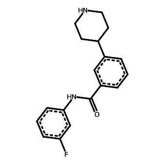 O=C(Nc1cccc(F)c1)c1cccc(C2CCNCC2)c1